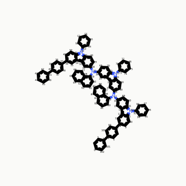 c1ccc(-c2ccc(-c3ccc4c(c3)c3cc(N(c5ccc6c(c5)c5cc(N(c7ccc8c(c7)c7cc(-c9ccc(-c%10ccccc%10)cc9)ccc7n8-c7ccccc7)c7cccc8ccccc78)ccc5n6-c5ccccc5)c5cccc6ccccc56)ccc3n4-c3ccccc3)cc2)cc1